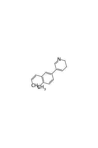 C/C=C\c1cc(C2=CCCN=C2)ccc1C